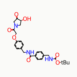 CC(C)(C)OC(=O)NCc1ccc(C(=O)NCc2ccc(OCC(=O)N3CC(=O)[C@@H](O)C3)cc2)cc1